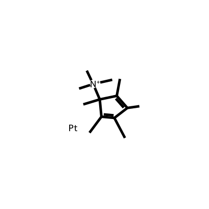 CC1=C(C)C(C)([N+](C)(C)C)C(C)=C1C.[Pt]